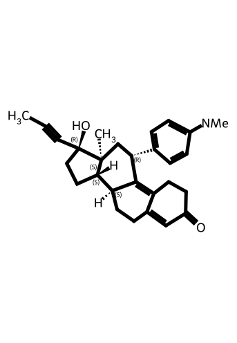 CC#C[C@@]1(O)CC[C@H]2[C@@H]3CCC4=CC(=O)CCC4=C3[C@@H](c3ccc(NC)cc3)C[C@@]21C